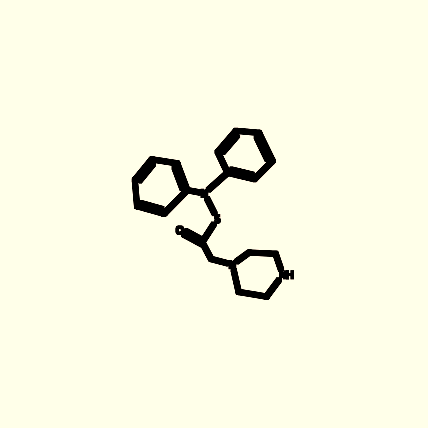 O=C(CN1CCNCC1)SN(c1ccccc1)c1ccccc1